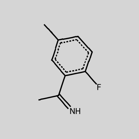 CC(=N)c1cc(C)ccc1F